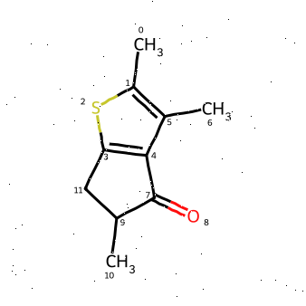 Cc1sc2c(c1C)C(=O)C(C)C2